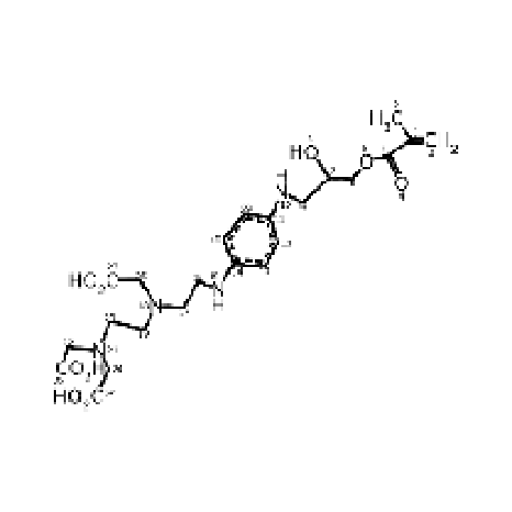 C=C(C)C(=O)OCC(O)CNc1ccc(NCCN(CCN(CC(=O)O)CC(=O)O)CC(=O)O)cc1